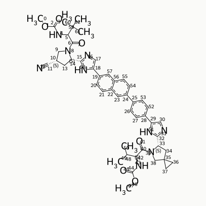 COC(=O)NC(C(=O)N1C[C@@H](C#N)C[C@H]1c1ncc(-c2ccc3cc(-c4ccc(-c5cnc([C@@H]6CC7(CC7)CN6C(=O)[C@@H](NC(=O)OC)C(C)C)[nH]5)cc4)ccc3c2)[nH]1)C(C)(C)C